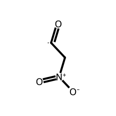 O=[C]C[N+](=O)[O-]